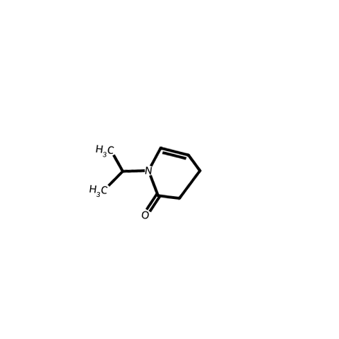 CC(C)N1C=CCCC1=O